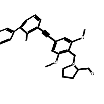 COc1cc(C#Cc2cccc(-c3ccccc3)c2C)cc(OC)c1CN1CCCC1CO